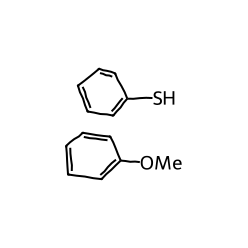 COc1ccccc1.Sc1ccccc1